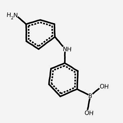 Nc1ccc(Nc2cccc(B(O)O)c2)cc1